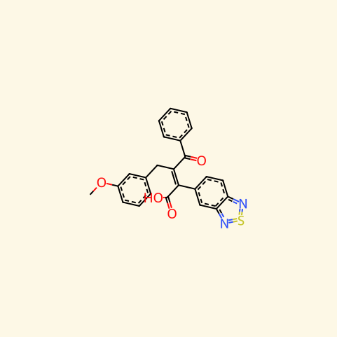 COc1cccc(CC(C(=O)c2ccccc2)=C(C(=O)O)c2ccc3nsnc3c2)c1